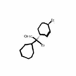 CCC(C=O)(C1CCCCC1)[C@H]1CC[C@H](CC)CC1